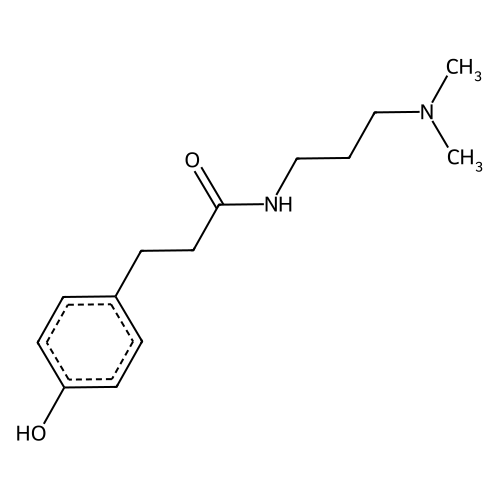 CN(C)CCCNC(=O)CCc1ccc(O)cc1